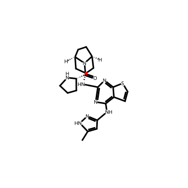 Cc1cc(Nc2nc(N[C@@H]3C[C@H]4CC[C@@H](C3)N4C(=O)[C@@H]3CCCN3)nc3sccc23)n[nH]1